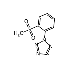 CS(=O)(=O)c1ccccc1-n1n[c]nn1